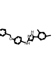 Cc1ccc(-c2cc(Nc3ccc(OCc4ccccc4)cc3)n[nH]2)c(C)c1